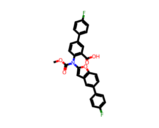 COC(=O)N(c1cc2cc(-c3ccc(F)cc3)ccc2o1)c1ccc(-c2ccc(F)cc2)cc1C(=O)O